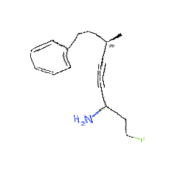 C[C@@H](C#CC(N)CCF)Cc1ccccc1